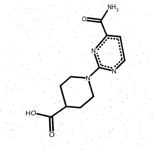 NC(=O)c1ccnc(N2CCC(C(=O)O)CC2)n1